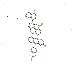 Fc1ccc2c(-c3ccc4c(F)cc5c(-c6ccc(F)c7ccccc67)ccc6ccc3c4c65)c3ccccc3c(-c3ccc(C(F)(F)F)cc3)c2c1